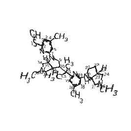 CSc1cc(C)cc(N2CC(C(C)(C)c3cc(C)cc(N4CC[C@@H]5CN(C)C[C@H]54)n3)[C@H]3CN(C)C[C@@H]32)n1